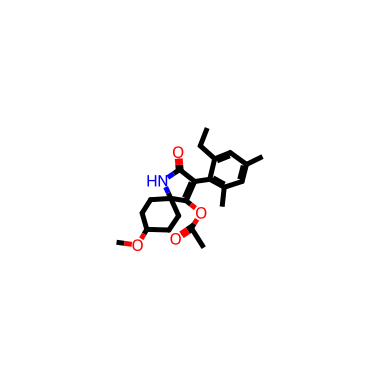 CCc1cc(C)cc(C)c1C1=C(OC(C)=O)C2(CCC(OC)CC2)NC1=O